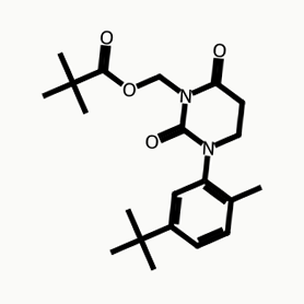 Cc1ccc(C(C)(C)C)cc1N1CCC(=O)N(COC(=O)C(C)(C)C)C1=O